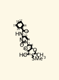 CSS[C@@H](C)O[C@@H]1C[C@H](n2ccc(NC(=O)c3ccccc3)nc2=O)O[C@@H]1CO